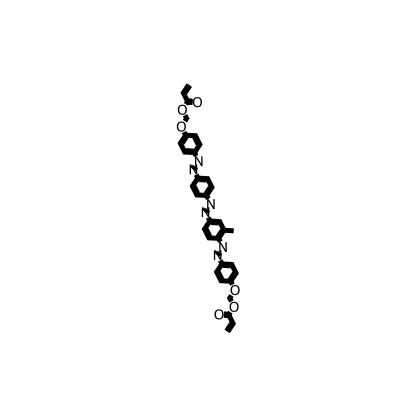 C=CC(=O)OCOc1ccc(N=Nc2ccc(N=Nc3ccc(N=Nc4ccc(OCOC(=O)C=C)cc4)c(C)c3)cc2)cc1